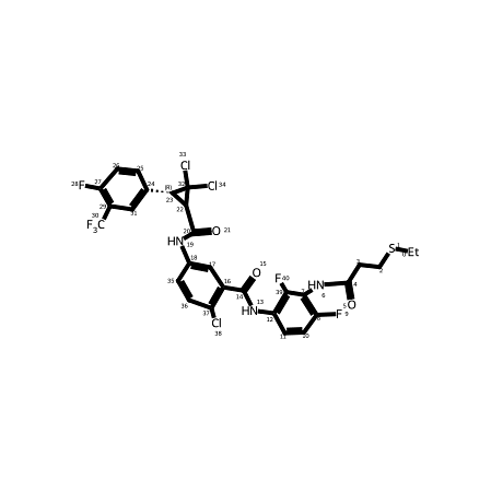 CCSCCC(=O)Nc1c(F)ccc(NC(=O)c2cc(NC(=O)C3[C@H](c4ccc(F)c(C(F)(F)F)c4)C3(Cl)Cl)ccc2Cl)c1F